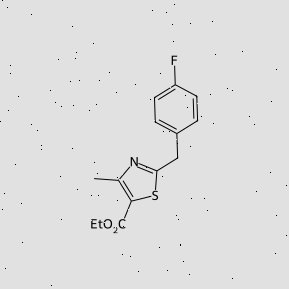 CCOC(=O)c1sc(Cc2ccc(F)cc2)nc1C